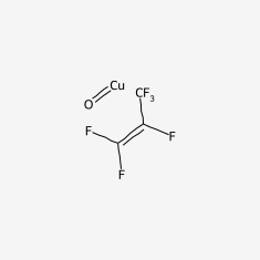 FC(F)=C(F)C(F)(F)F.[O]=[Cu]